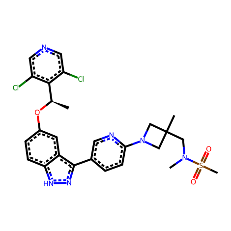 C[C@@H](Oc1ccc2[nH]nc(-c3ccc(N4CC(C)(CN(C)S(C)(=O)=O)C4)nc3)c2c1)c1c(Cl)cncc1Cl